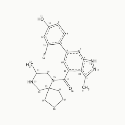 Cc1n[nH]c2nc(-c3ccc(O)cc3F)cc(C(=O)N3CC(C)NCC34CCCC4)c12